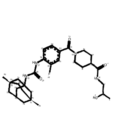 CC(O)CNC(=O)C1CCN(C(=O)c2ccc(NC(=O)NC34CC5C[C@@](C)(C3)C[C@](C)(C5)C4)c(F)c2)CC1